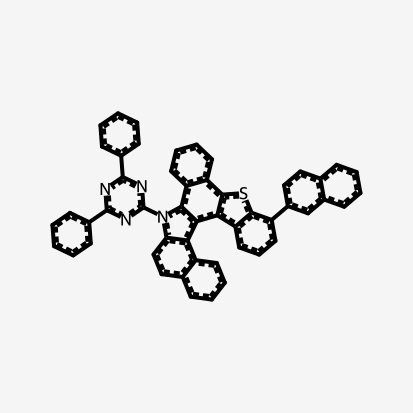 c1ccc(-c2nc(-c3ccccc3)nc(-n3c4ccc5ccccc5c4c4c5c6cccc(-c7ccc8ccccc8c7)c6sc5c5ccccc5c43)n2)cc1